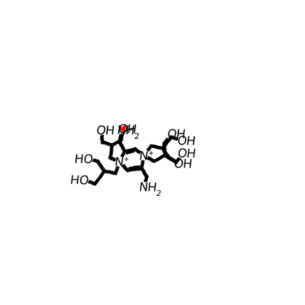 NCC1=C[N+](CC(CO)CO)(CC(CO)CO)C(CN)=C[N+]1(CC(CO)CO)CC(CO)CO